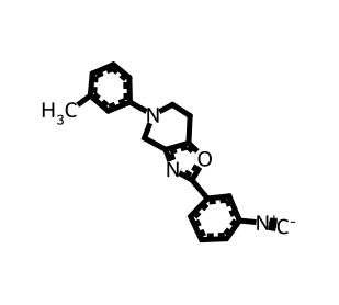 [C-]#[N+]c1cccc(-c2nc3c(o2)CCN(c2cccc(C)c2)C3)c1